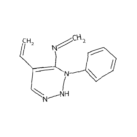 C=CC1=C(N=C)N(c2ccccc2)NN=C1